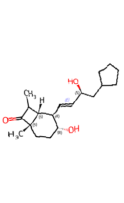 CC1C(=O)[C@@]2(C)CC[C@@H](O)[C@H](/C=C/[C@@H](O)CC3CCCC3)[C@@H]12